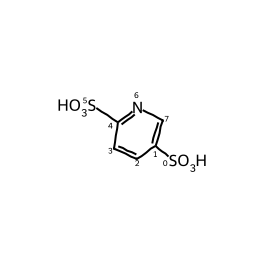 O=S(=O)(O)c1ccc(S(=O)(=O)O)nc1